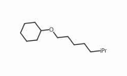 CC(C)CCCCCOC1CCCCC1